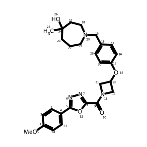 COc1ccc(-c2nnc(C(=O)N3CC(Oc4ccc(CN5CCCC(C)(O)CC5)cc4)C3)o2)cc1